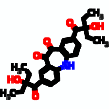 CCC(O)(CC)C(=O)c1ccc2[nH]c3ccc(C(=O)C(O)(CC)CC)cc3c(=O)c(=O)c2c1